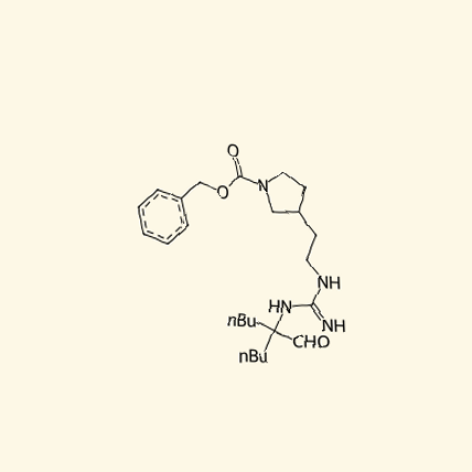 CCCCC(C=O)(CCCC)NC(=N)NCCC1CCN(C(=O)OCc2ccccc2)C1